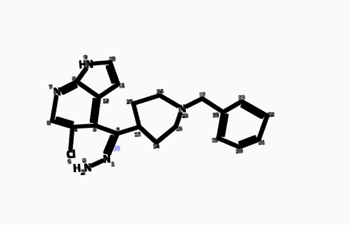 N/N=C(\c1c(Cl)cnc2[nH]ccc12)C1CCN(Cc2ccccc2)CC1